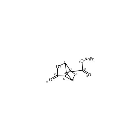 CCCOC(=O)C1C2CC3C1OC(=O)C32